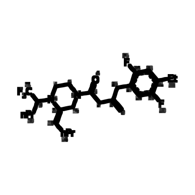 C=C(CC(=O)N1CCN(C(CCC)C(F)(F)F)/C(=C/CCC)C1)Cc1cc(F)c(CC)cc1F